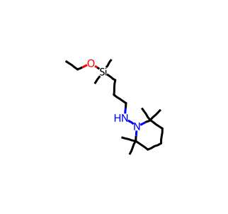 CCO[Si](C)(C)CCCNN1C(C)(C)CCCC1(C)C